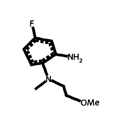 COCCN(C)c1ccc(F)cc1N